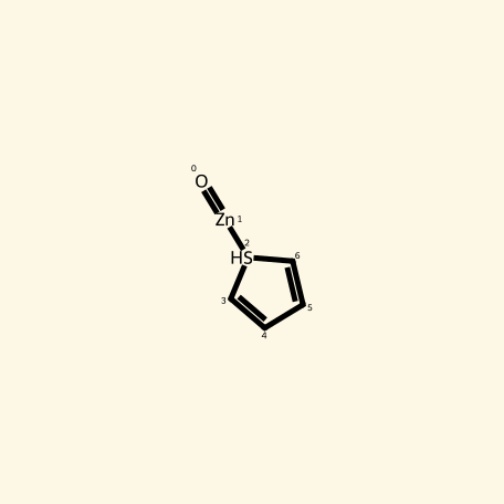 [O]=[Zn][SH]1C=CC=C1